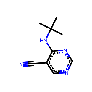 CC(C)(C)Nc1ncncc1C#N